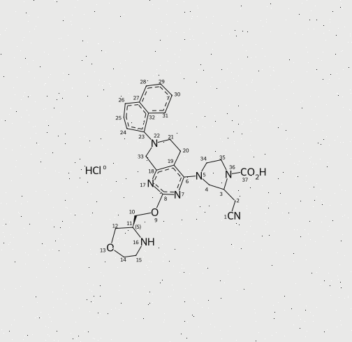 Cl.N#CCC1CN(c2nc(OC[C@@H]3COCCN3)nc3c2CCN(c2cccc4ccccc24)C3)CCN1C(=O)O